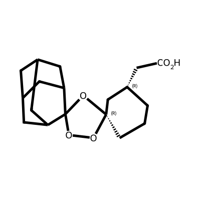 O=C(O)C[C@@H]1CCC[C@]2(C1)OOC1(O2)C2CC3CC(C2)CC1C3